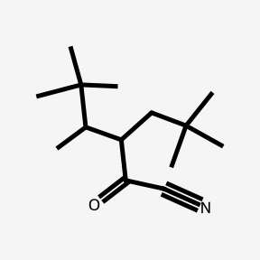 CC(C(CC(C)(C)C)C(=O)C#N)C(C)(C)C